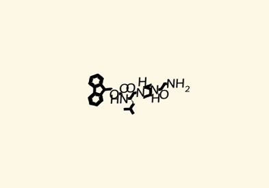 CC(C)C[C@H](NC(=O)OCC1c2ccccc2-c2ccccc21)C(=O)N1C[C@@H]2C[C@H]1CN2C(=O)CN